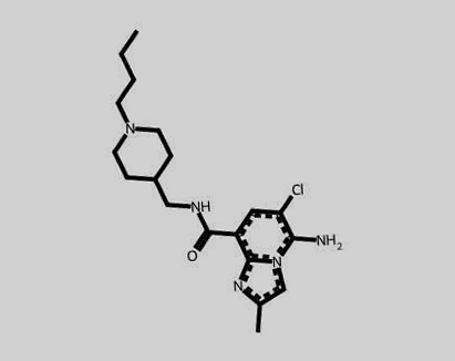 CCCCN1CCC(CNC(=O)c2cc(Cl)c(N)n3cc(C)nc23)CC1